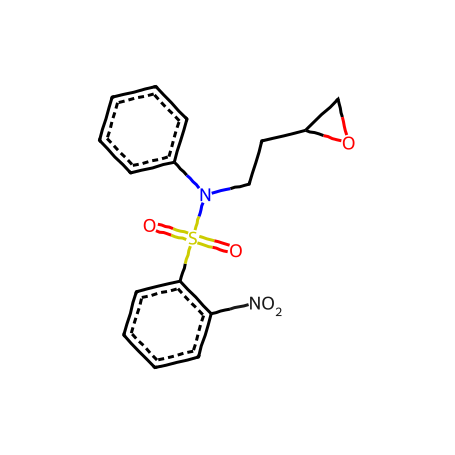 O=[N+]([O-])c1ccccc1S(=O)(=O)N(CCC1CO1)c1ccccc1